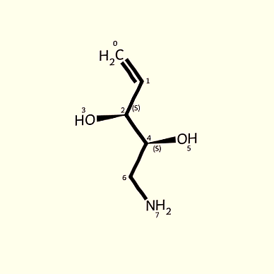 C=C[C@H](O)[C@@H](O)CN